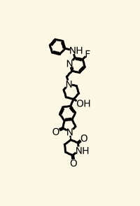 O=C1CC[C@@H](N2Cc3cc(C4(O)CCN(Cc5ccc(F)c(Nc6ccccc6)n5)CC4)ccc3C2=O)C(=O)N1